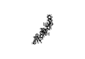 CCN(C(C)C)C(C(=O)N(C)CCOC)c1ccc(Nc2nc(-c3cccc(NC(=O)c4cc5c(s4)CCCC5)c3C)cn(C)c2=O)cc1